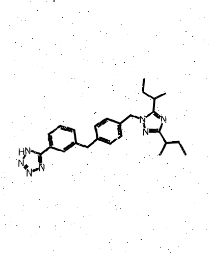 CCC(C)c1nc(C(C)CC)n(Cc2ccc(Cc3cccc(-c4nnn[nH]4)c3)cc2)n1